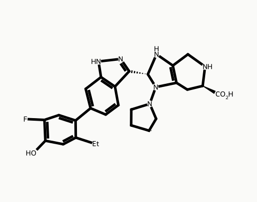 CCc1cc(O)c(F)cc1-c1ccc2c([C@@H]3NC4=C(C[C@H](C(=O)O)NC4)N3N3C[CH]CC3)n[nH]c2c1